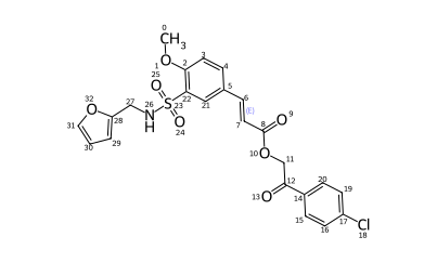 COc1ccc(/C=C/C(=O)OCC(=O)c2ccc(Cl)cc2)cc1S(=O)(=O)NCc1ccco1